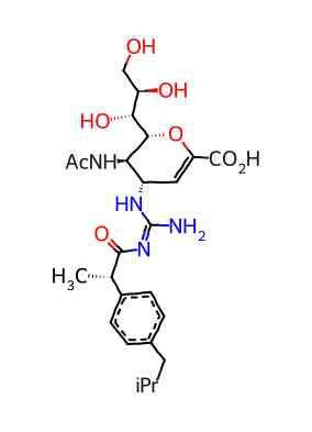 CC(=O)N[C@H]1[C@H]([C@H](O)[C@H](O)CO)OC(C(=O)O)=C[C@@H]1N/C(N)=N\C(=O)[C@@H](C)c1ccc(CC(C)C)cc1